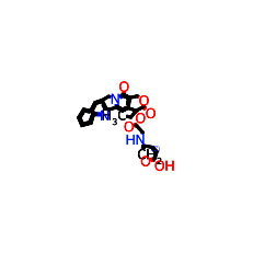 C=C(/C=C\C(=O)O)NCC(=O)OC1(CC)C(=O)OCc2c1cc1n(c2=O)Cc2cc3ccccc3nc2-1